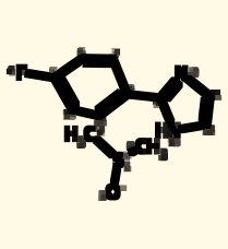 C[S+](C)[O-].Fc1ccc(-c2ncc[nH]2)cc1